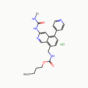 CCNC(=O)Nc1cc2c(-c3ccncc3)ccc(CNC(=O)OCCCOC)c2cn1.Cl